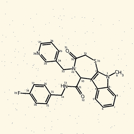 Cn1c2c(c3ccccc31)C(C(=O)NCc1ccc(F)cc1)N(Cc1cccnc1)C(=O)CS2